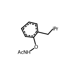 CC(=O)NOc1ccccc1CC(C)C